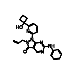 C=CCn1c(=O)c2cnc(Nc3ccccc3)nc2n1-c1cccc(C2(O)CCC2)n1